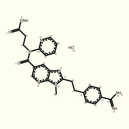 COC(=O)CCN(C(=O)c1cnc2c(c1)nc(CCc1ccc(C(=N)N)cc1)n2C)c1ccccn1.Cl